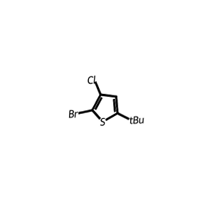 CC(C)(C)c1cc(Cl)c(Br)s1